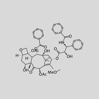 CC(=O)O[C@H]1C(=O)[C@@]2(C)[C@H]([C@H](OC(=O)c3ccccc3)[C@]3(O)C[C@H](OC(=O)[C@H](O)[C@@H](NC(=O)c4ccccc4)c4ccccc4)C(C)=C1C3(C)C)[C@]1(OC(C)=O)CO[C@@H]1C[C@@H]2O.COC